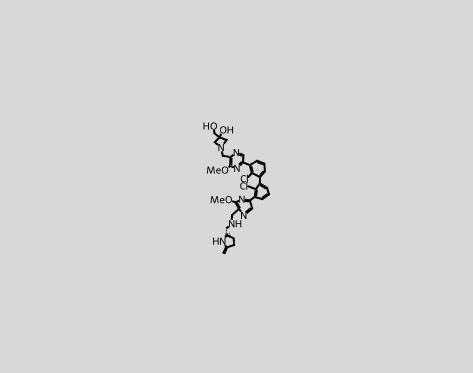 C=C1CC[C@@H](CNCc2ncc(-c3cccc(-c4cccc(-c5cnc(CN6CC(O)(CO)C6)c(OC)n5)c4Cl)c3Cl)nc2OC)N1